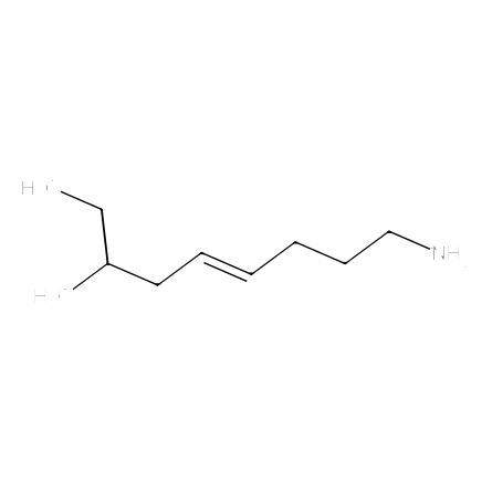 CCC(C)C/C=C/CCCN